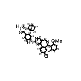 COc1cccc(F)c1C1=NCc2cnc(Nc3ccc(C(=O)N(C)C4CN5CCC4CC5)cc3)nc2-c2ccc(Cl)cc21